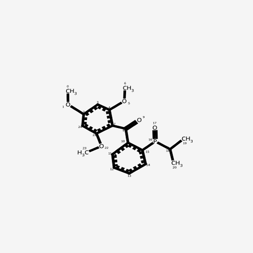 COc1cc(OC)c(C(=O)c2ccccc2[P](=O)C(C)C)c(OC)c1